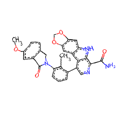 COc1ccc2c(c1)C(=O)N(c1cccc(-c3cnc(C(N)=O)c4[nH]c5cc6c(cc5c34)OCO6)c1C)C2